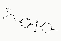 CN1CCC(S(=O)(=O)c2ccc(CCC(N)=O)cc2)CC1